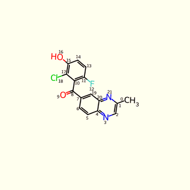 Cc1cnc2ccc(C(=O)c3c(F)ccc(O)c3Cl)cc2n1